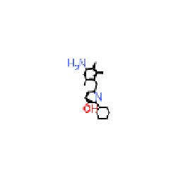 Cc1cc(N)c(C)c(C)c1Cc1ccc(O)c(C2CCCCC2)n1